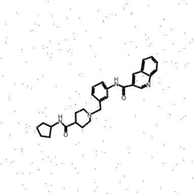 O=C(Nc1cccc(CN2CCC(C(=O)NC3CCCC3)CC2)c1)c1cnc2ccccc2c1